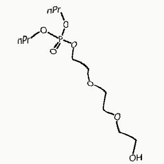 CCCOP(=O)(OCCC)OCCOCCOCCO